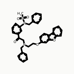 CS(=O)(=O)N(Cc1ccccc1)c1cccc(C(=O)CN(CCOc2ccc3c(c2)oc2ccccc23)Cc2ccccc2)c1